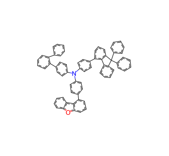 c1ccc(-c2ccccc2-c2ccc(N(c3ccc(-c4cccc5c4-c4ccccc4C5(c4ccccc4)c4ccccc4)cc3)c3ccc(-c4cccc5oc6ccccc6c45)cc3)cc2)cc1